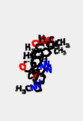 CC(C)[C@@H](C)[C@@]1(C)CC[C@]2(C)[C@H]3CC[C@@H]4[C@@]5(COC[C@]4(C)[C@@H](OC[C@H]4CCCN4C)[C@H](n4ncnc4-c4ccncc4)C5)C3=CC[C@@]2(C)[C@@H]1C(=O)O